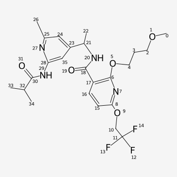 COCCCOc1nc(OCC(F)(F)F)ccc1C(=O)NC(C)c1cc(C)nc(NC(=O)C(C)C)c1